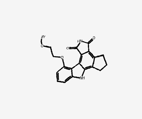 CC(C)OCCOc1cccc2[nH]c3c4c(c5c(c3c12)C(=O)NC5=O)CCC4